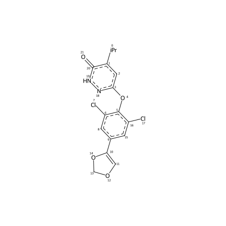 CC(C)c1cc(Oc2c(Cl)cc(C3=COCO3)cc2Cl)n[nH]c1=O